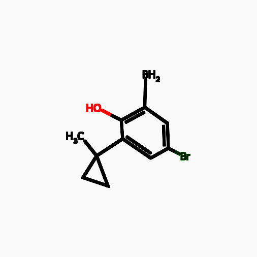 Bc1cc(Br)cc(C2(C)CC2)c1O